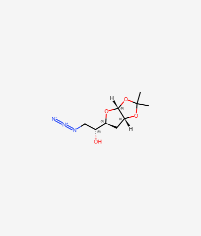 CC1(C)O[C@H]2O[C@H]([C@H](O)CN=[N+]=[N-])C[C@H]2O1